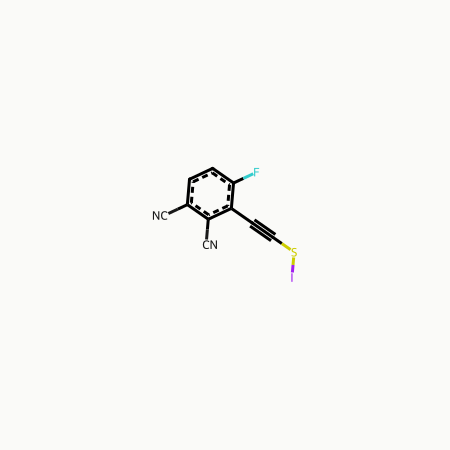 N#Cc1ccc(F)c(C#CSI)c1C#N